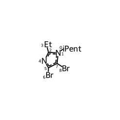 CCCC(C)n1c(CC)nc(Br)c1Br